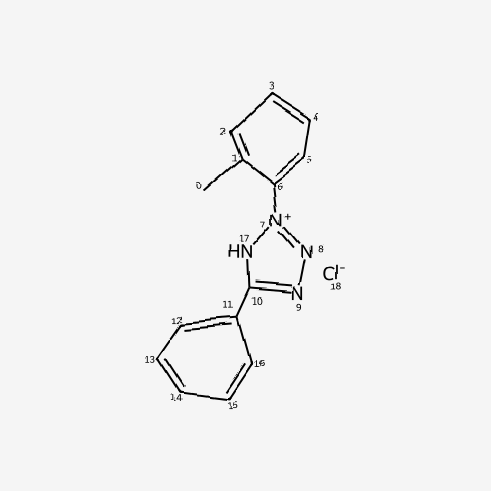 Cc1ccccc1-[n+]1nnc(-c2ccccc2)[nH]1.[Cl-]